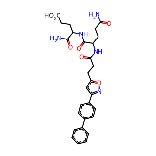 NC(=O)CCC(NC(=O)CCc1cc(-c2ccc(-c3ccccc3)cc2)no1)C(=O)NC(CCC(=O)O)C(N)=O